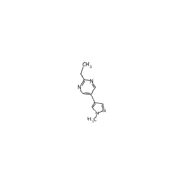 CCc1ncc(-c2cnn(C)c2)cn1